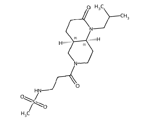 CC(C)CN1C(=O)CC[C@@H]2CN(C(=O)CCNS(C)(=O)=O)CC[C@@H]21